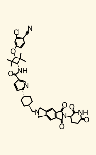 CC1(C)[C@H](NC(=O)c2ccc([C@H]3CC[C@H](CN4Cc5cc6c(cc5C4)C(=O)N(C4CCC(=O)NC4=O)C6=O)CC3)nc2)C(C)(C)[C@H]1Oc1ccc(C#N)c(Cl)c1